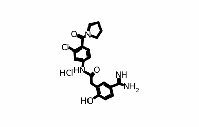 Cl.N=C(N)c1ccc(O)c(CC(=O)Nc2ccc(C(=O)N3CCCC3)c(Cl)c2)c1